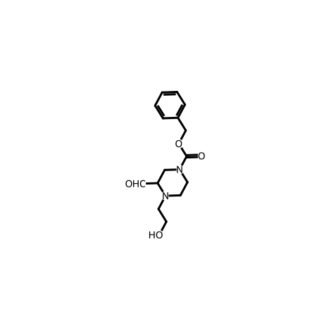 O=CC1CN(C(=O)OCc2ccccc2)CCN1CCO